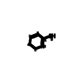 SC1=NCCC=C1